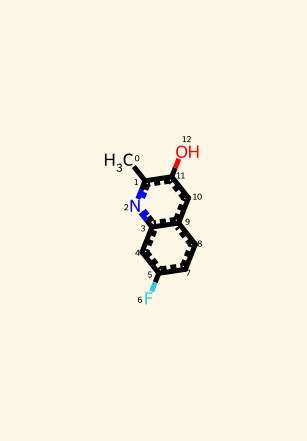 Cc1nc2cc(F)ccc2cc1O